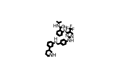 CC(C)NC(=O)c1ccccc1Nc1nc(Nc2ccc(CNc3cccc(C4CCCNC4)c3)cc2)ncc1C(F)(F)F